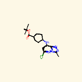 Cc1nnc2c(NC3CCC(C(=O)OC(C)(C)C)CC3)cc(Cl)nn12